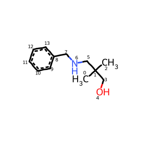 CC(C)(CO)CNCc1ccccc1